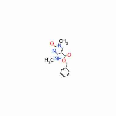 CNc1nc(=O)n(C)cc1C(=O)OCc1ccccc1